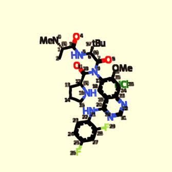 CN[C@@H](C)C(=O)N[C@H](C(=O)N(C(=O)[C@@H]1CCCN1)c1cc2c(Nc3ccc(F)cc3F)ncnc2cc1OC)C(C)(C)C.Cl